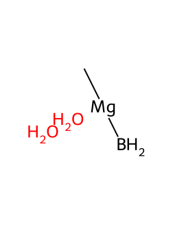 O.O.[BH2][Mg][CH3]